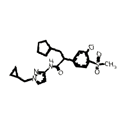 CS(=O)(=O)c1ccc(C(CC2CCCC2)C(=O)Nc2ccn(CC3CC3)n2)cc1Cl